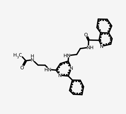 CC(=O)NCCNc1cc(NCCNC(=O)c2nccc3ccccc23)nc(-c2ccccc2)n1